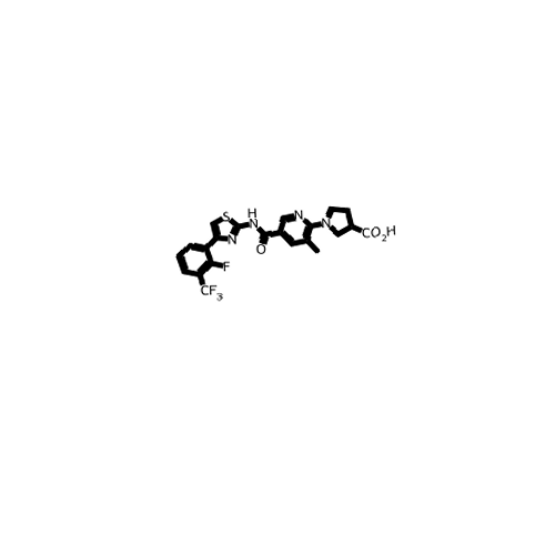 Cc1cc(C(=O)Nc2nc(-c3cccc(C(F)(F)F)c3F)cs2)cnc1N1CCC(C(=O)O)C1